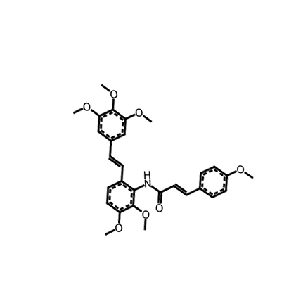 COc1ccc(/C=C/C(=O)Nc2c(C=Cc3cc(OC)c(OC)c(OC)c3)ccc(OC)c2OC)cc1